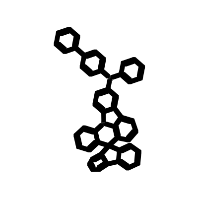 c1ccc(-c2ccc(N(c3ccccc3)c3ccc4c(c3)c3cccc5c3n4-c3ccccc3C53c4ccccc4-c4ccccc43)cc2)cc1